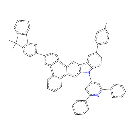 Cc1ccc(-c2ccc3c(c2)c2cc4c5ccc(-c6ccc7c(c6)-c6ccccc6C7(C)C)cc5c5ccccc5c4cc2n3-c2cc(-c3ccccc3)nc(-c3ccccc3)c2)cc1